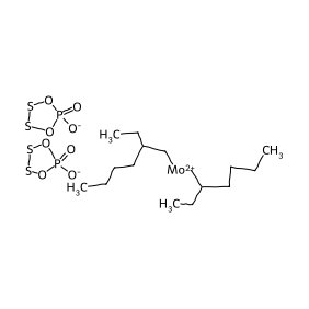 CCCCC(CC)[CH2][Mo+2][CH2]C(CC)CCCC.O=P1([O-])OSSO1.O=P1([O-])OSSO1